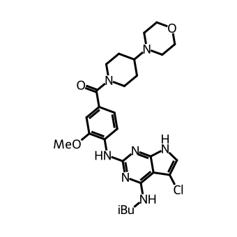 CCC(C)Nc1nc(Nc2ccc(C(=O)N3CCC(N4CCOCC4)CC3)cc2OC)nc2[nH]cc(Cl)c12